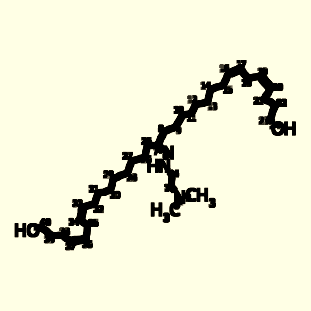 CN(C)CCNN=C(CCCCCCCC/C=C\C/C=C\CCCO)CCCCCCCC/C=C\C/C=C\CCCO